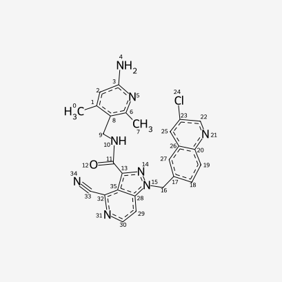 Cc1cc(N)nc(C)c1CNC(=O)c1nn(Cc2ccc3ncc(Cl)cc3c2)c2ccnc(C#N)c12